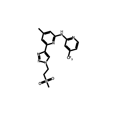 Cc1cc(Nc2cc(C(F)(F)F)ccn2)nc(-c2cn(CCS(C)(=O)=O)nn2)c1